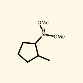 CO[SiH](OC)C1CCCC1C